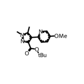 COc1ccc(-c2c(C(=O)OC(C)(C)C)nn(C)c2C)nc1